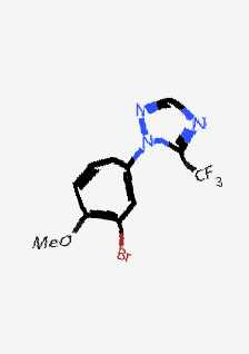 COc1ccc(-n2ncnc2C(F)(F)F)cc1Br